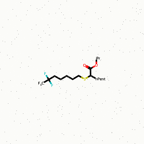 CCCCCC(SCCCCCC(F)(F)C(F)(F)F)C(=O)OC(C)C